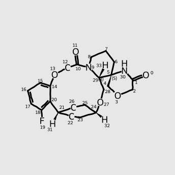 O=C1COC[C@@]2(CCCN3C(=O)COc4cccc(F)c4[C@H]4CC[C@H](CC4)OC[C@H]32)N1